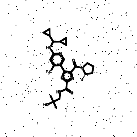 C[C@H]1CCCN1C(=O)c1nc(C(=O)NCC(C)(C)O)sc1-c1cnc(NC(C2CC2)C2CC2)cc1C(F)(F)F